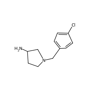 NC1CCN(Cc2ccc(Cl)cc2)C1